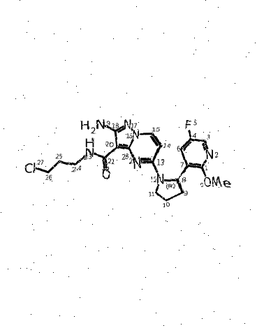 COc1ncc(F)cc1[C@H]1CCCN1c1ccn2nc(N)c(C(=O)NCCCCl)c2n1